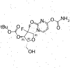 CC(C)(C)OC(=O)O[C@@H]1[C@@H](CO)O[C@@H](n2ccc(OC(N)=O)nc2=O)C1(F)F